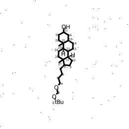 CC(C)(C)OCOCCCCC1CC[C@H]2C3CCC4CC(O)CCC4(C)[C@H]3CCC12C